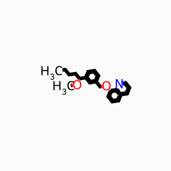 CCCCC(OC)c1cccc(COc2cccc3cccnc23)c1